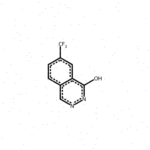 Oc1nncc2ccc(C(F)(F)F)cc12